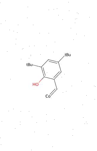 CC(C)(C)c1cc([CH]=[Co])c(O)c(C(C)(C)C)c1